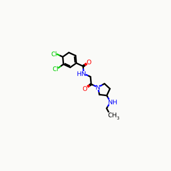 CCNC1CCN(C(=O)CNC(=O)C2=CCC(Cl)C(Cl)=C2)C1